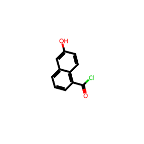 O=C(Cl)c1cccc2cc(O)ccc12